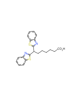 O=C(O)CCCCCC(c1nc2ccccc2s1)c1nc2ccccc2s1